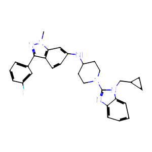 Cn1nc(-c2cccc(F)c2)c2ccc(NC3CCN(c4nc5ccccc5n4CC4CC4)CC3)cc21